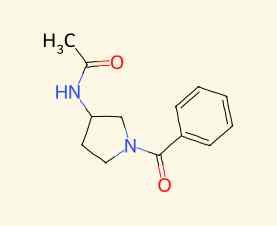 CC(=O)NC1CCN(C(=O)c2ccccc2)C1